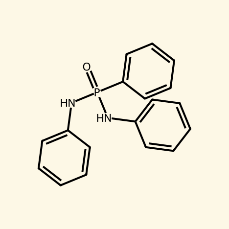 O=P(Nc1ccccc1)(Nc1ccccc1)c1ccccc1